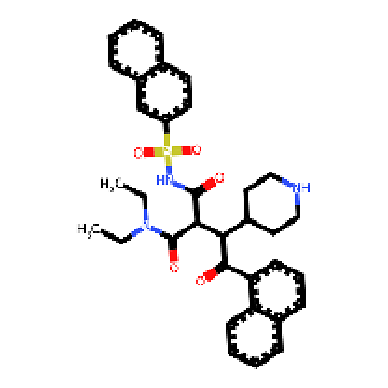 CCN(CC)C(=O)C(C(=O)NS(=O)(=O)c1ccc2ccccc2c1)C(C(=O)c1cccc2ccccc12)C1CCNCC1